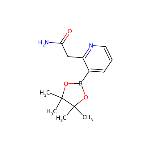 CC1(C)OB(c2cccnc2CC(N)=O)OC1(C)C